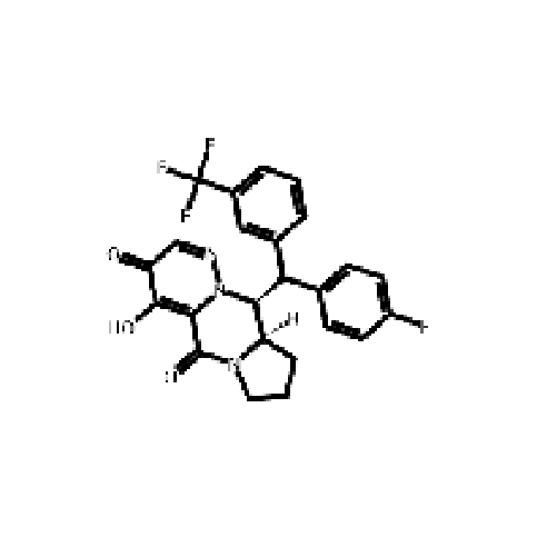 O=C1c2c(O)c(=O)cnn2[C@@H](C(c2ccc(F)cc2)c2cccc(C(F)(F)F)c2)[C@H]2CCCN12